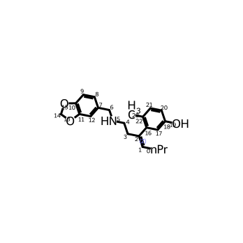 CCC/C=C(/CCNCc1ccc2c(c1)OCO2)c1cc(O)ccc1C